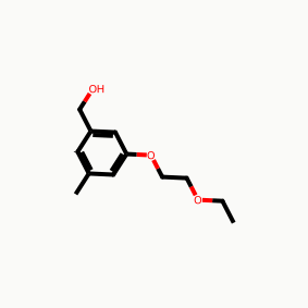 CCOCCOc1cc(C)[c]c(CO)c1